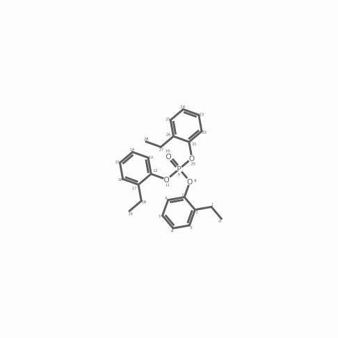 CCc1ccccc1OP(=O)(Oc1ccccc1CC)Oc1ccccc1CC